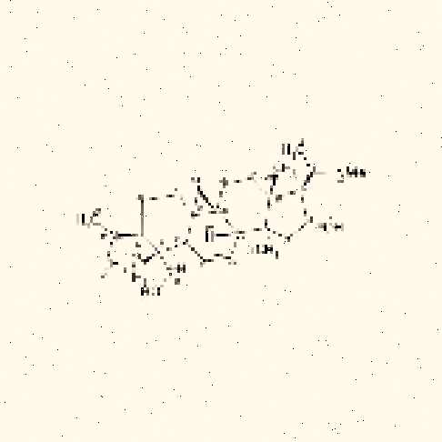 CN[C@@H](C)[C@H]1[C@H](O)C[C@@]2(C)[C@@H]3C=C[C@H]4[C@](C)(CO)[C@@H](N(C)C)CC[C@@]45C[C@@]35CC[C@]12C